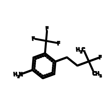 CC(C)(F)CCc1ccc(N)cc1C(F)(F)F